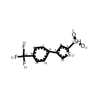 O=[SH](=O)c1cc(-c2ccc(C(F)(F)F)cc2)cs1